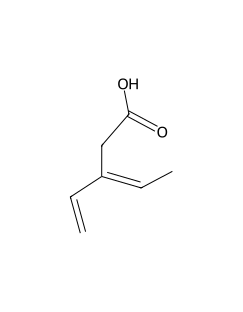 C=CC(=CC)CC(=O)O